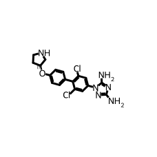 Nc1nc(N)n(-c2cc(Cl)c(-c3ccc(O[C@H]4CCNC4)cc3)c(Cl)c2)n1